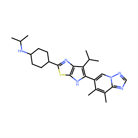 Cc1c(-c2[nH]c3sc(C4CCC(NC(C)C)CC4)nc3c2C(C)C)cn2ncnc2c1C